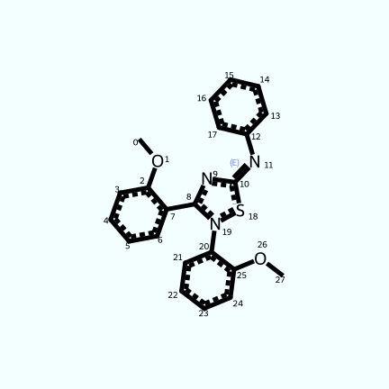 COc1ccccc1-c1n/c(=N\c2ccccc2)sn1-c1ccccc1OC